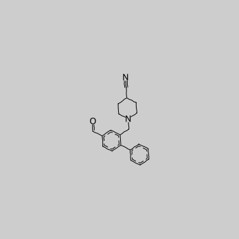 N#CC1CCN(Cc2cc(C=O)ccc2-c2ccccc2)CC1